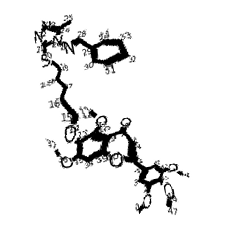 COc1cc(-c2cc(=O)c3c(OC)c(OCCCCCSc4nnc(C)n4N=Cc4ccccc4)c(OC)cc3o2)cc(OC)c1OC